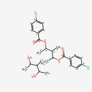 CC(O)C(C)C(C)O.CC(OC(=O)c1ccc(Cl)cc1)C(C)C(C)OC(=O)c1ccc(Cl)cc1